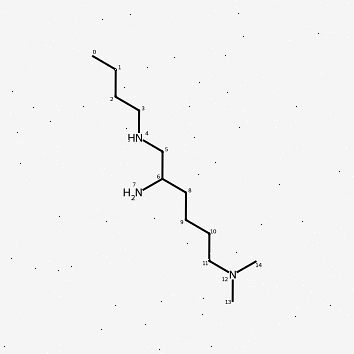 CCCCNCC(N)CCCCN(C)C